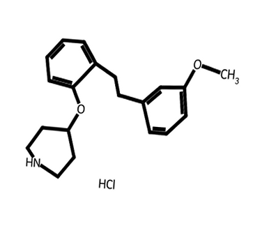 COc1cccc(CCc2ccccc2OC2CCNCC2)c1.Cl